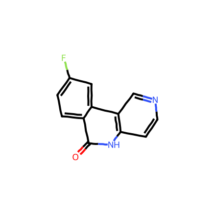 O=c1[nH]c2ccncc2c2cc(F)ccc12